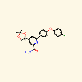 CC1(C)OC[C@H](c2cc(C(N)=O)nc(-c3ccc(Oc4ccc(F)cc4)cc3)c2)O1